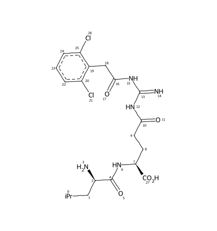 CC(C)C[C@@H](N)C(=O)N[C@@H](CCC(=O)NC(=N)NC(=O)Cc1c(Cl)cccc1Cl)C(=O)O